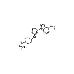 CC(C)Oc1cccc2c1cnn2-c1ccnc(NC2CCC(N(C)S(C)(=O)=O)CC2)n1